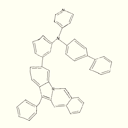 c1ccc(-c2ccc(N(c3ccncc3)c3cccc(-c4ccc5c(-c6ccccc6)c6cc7ccccc7cn6c5c4)c3)cc2)cc1